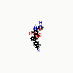 CCc1nn(C)c(C2CNCCO2)c1CC1=C(O)CC(CCc2ccc(C(C)(C)C#N)c(F)c2)(C2CCCC2)OC1=O